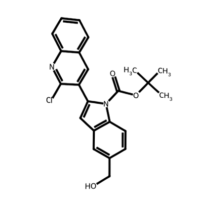 CC(C)(C)OC(=O)n1c(-c2cc3ccccc3nc2Cl)cc2cc(CO)ccc21